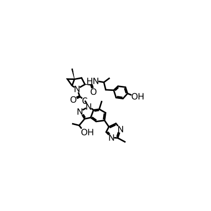 Cc1ncc(-c2cc(C)c3c(c2)c(C(C)O)nn3CC(=O)N2C3C[C@]3(C)C[C@H]2C(=O)NC(C)Cc2ccc(O)cc2)cn1